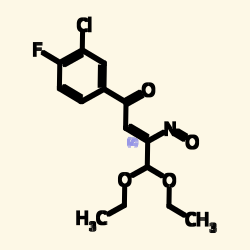 CCOC(OCC)/C(=C/C(=O)c1ccc(F)c(Cl)c1)N=O